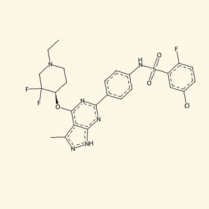 CCN1CC[C@@H](Oc2nc(-c3ccc(NS(=O)(=O)c4cc(Cl)ccc4F)cc3)nc3[nH]nc(C)c23)C(F)(F)C1